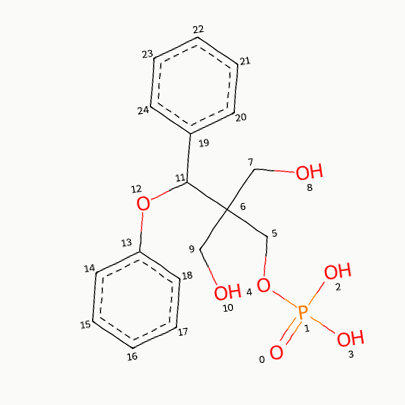 O=P(O)(O)OCC(CO)(CO)C(Oc1ccccc1)c1ccccc1